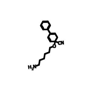 N#CC1(OCCCCCCN)C=CC(c2ccccc2)=CC1